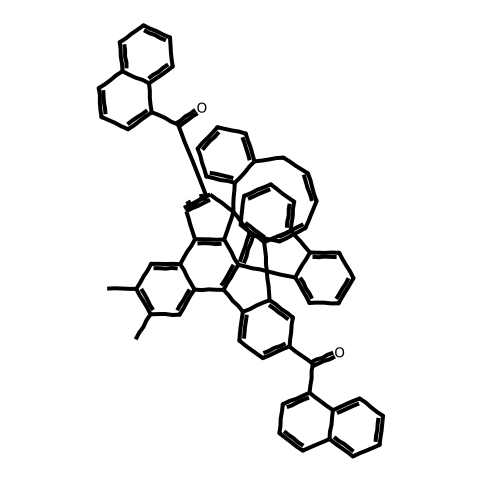 C=C1/C=C\C=C/Cc2ccccc2C12c1cc(C(=O)c3cccc4ccccc34)ccc1-c1c2c2c(c3cc(C)c(C)cc13)-c1ccc(C(=O)c3cccc4ccccc34)cc1C21c2ccccc2-c2ccccc21